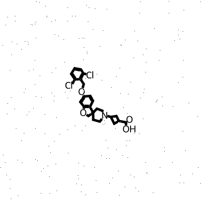 O=C(O)C1CC(N2CCC3(CC2)COc2cc(OCc4c(Cl)cccc4Cl)ccc23)C1